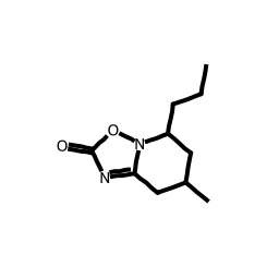 CCCC1CC(C)Cc2nc(=O)on21